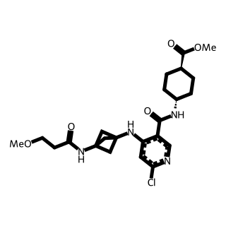 COCCC(=O)NC12CC(Nc3cc(Cl)ncc3C(=O)N[C@H]3CC[C@H](C(=O)OC)CC3)(C1)C2